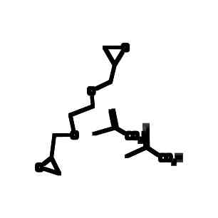 C(COCC1CO1)OCC1CO1.C=C(C)C(=O)O.C=C(C)C(=O)O